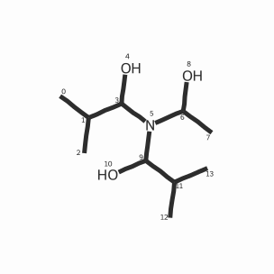 CC(C)C(O)N(C(C)O)C(O)C(C)C